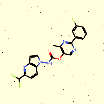 Cc1nc(-c2cccc(F)c2)ncc1OC(=O)Nn1ccc2nc(C(F)F)ccc21